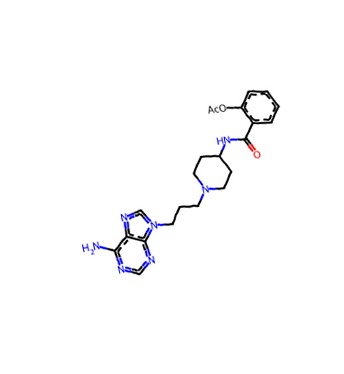 CC(=O)Oc1ccccc1C(=O)NC1CCN(CCCn2cnc3c(N)ncnc32)CC1